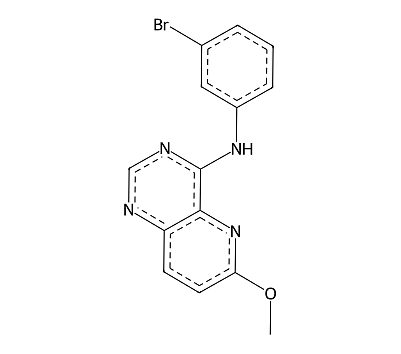 COc1ccc2ncnc(Nc3cccc(Br)c3)c2n1